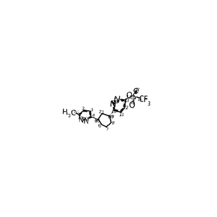 Cc1ccc([C@@H]2CCC[C@@H](c3ccc(OS(=O)(=O)C(F)(F)F)nn3)C2)nn1